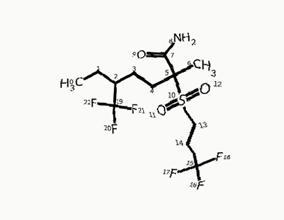 CCC(CCC(C)(C(N)=O)S(=O)(=O)CCC(F)(F)F)C(F)(F)F